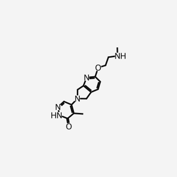 CNCCOc1ccc2c(n1)CN(c1cn[nH]c(=O)c1C)C2